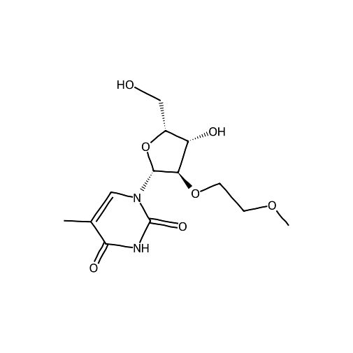 COCCO[C@@H]1[C@@H](O)[C@@H](CO)O[C@H]1n1cc(C)c(=O)[nH]c1=O